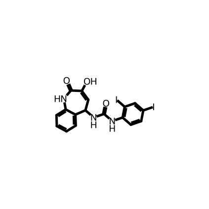 O=C(Nc1ccc(I)cc1I)NC1C=C(O)C(=O)Nc2ccccc21